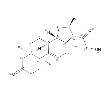 C[C@@H]1C[C@H]2[C@@H]3CC[C@@H]4CC(=O)CC[C@]4(C)C3=CC[C@]2(C)[C@H]1C(=O)CO